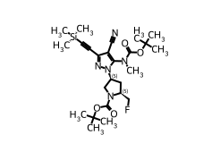 CN(C(=O)OC(C)(C)C)c1c(C#N)c(C#C[Si](C)(C)C)nn1[C@H]1C[C@@H](CF)N(C(=O)OC(C)(C)C)C1